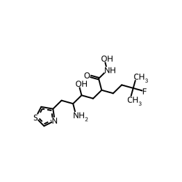 CC(C)(F)CCC(CC(O)C(N)Cc1cscn1)C(=O)NO